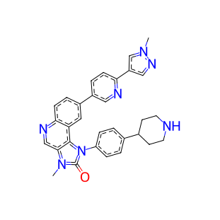 Cn1cc(-c2ccc(-c3ccc4ncc5c(c4c3)n(-c3ccc(C4CCNCC4)cc3)c(=O)n5C)cn2)cn1